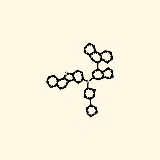 c1ccc(-c2ccc(N(c3cc(-c4cc5ccccc5c5ccccc45)c4ccccc4c3)c3ccc4sc5c6ccccc6ccc5c4c3)cc2)cc1